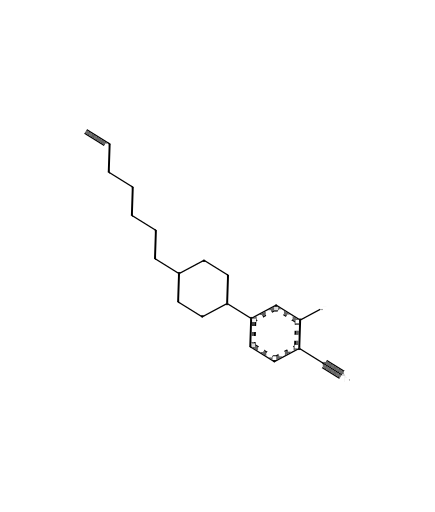 C=CCCCCCC1CCC(c2ccc(C#N)c(F)c2)CC1